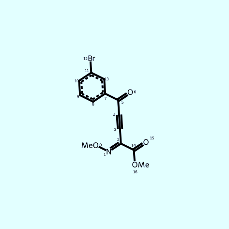 CON=C(C#CC(=O)c1cccc(Br)c1)C(=O)OC